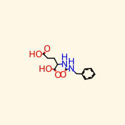 O=C(O)CCC(NC(=O)NCc1ccccc1)C(=O)O